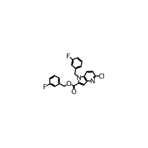 O=C(OCc1cccc(F)c1)c1cc2nc(Cl)ccc2n1Cc1cccc(F)c1